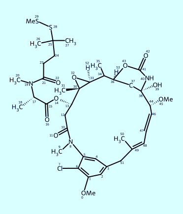 COc1cc2cc(c1Cl)N(C)C(=O)C[C@H](OC(=O)[C@H](C)N(C)C(=O)CCC(C)(C)SSC)[C@]1(C)O[C@H]1C(C)[C@@H]1C[C@@](O)(NC(=O)O1)[C@H](OC)/C=C/C=C(\C)C2